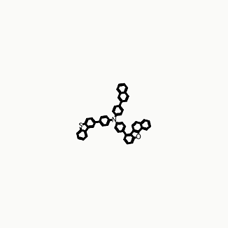 c1ccc2cc(-c3ccc(N(c4ccc(-c5ccc6sc7ccccc7c6c5)cc4)c4ccc(-c5cccc6oc7c8ccccc8ccc7c56)cc4)cc3)ccc2c1